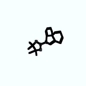 CC1(C)OB(N2C=C3C=CC=CC34CC=CC=C24)OC1(C)C